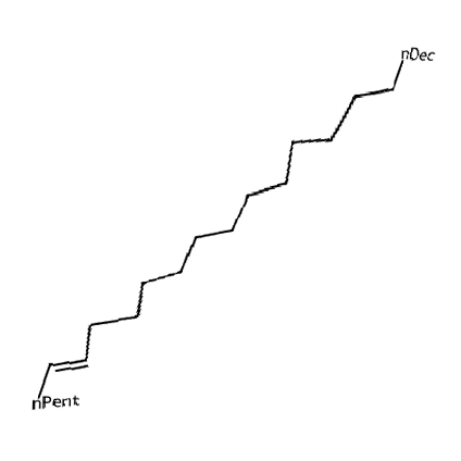 CCCCC/C=C/CCCCCCCCCCCCCCCCCCCCCC